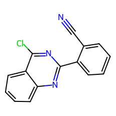 N#Cc1ccccc1-c1nc(Cl)c2ccccc2n1